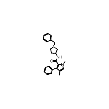 Cc1cn(C)c(C(=O)NC2CCN(Cc3ccccc3)C2)c1-c1ccccc1